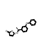 C[C@H](O[C@@H]1C=CC(=O)O1)c1cccc(Oc2ccccc2)c1